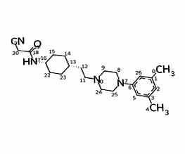 Cc1cc(C)cc(N2CCN(CC[C@H]3CC[C@@H](NC(=O)CC#N)CC3)CC2)c1